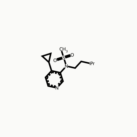 CC(C)CCN(c1cnccc1C1CC1)S(C)(=O)=O